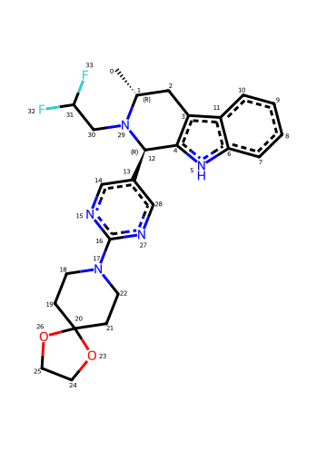 C[C@@H]1Cc2c([nH]c3ccccc23)[C@@H](c2cnc(N3CCC4(CC3)OCCO4)nc2)N1CC(F)F